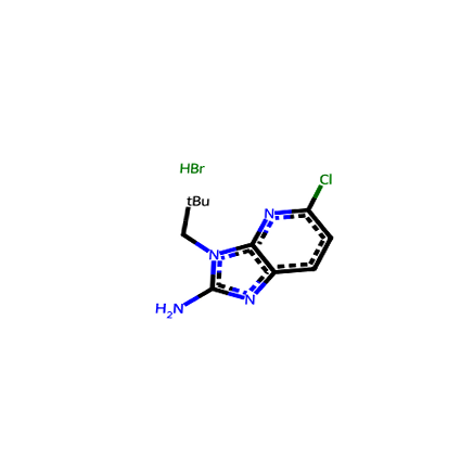 Br.CC(C)(C)Cn1c(N)nc2ccc(Cl)nc21